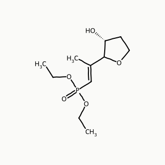 CCOP(=O)(/C=C(\C)C1OCC[C@H]1O)OCC